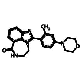 Cc1cc(N2CCOCC2)ccc1-c1nc2cccc3c2n1CCNC3=O